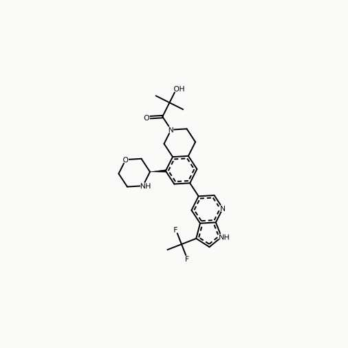 CC(C)(O)C(=O)N1CCc2cc(-c3cnc4[nH]cc(C(C)(F)F)c4c3)cc([C@@H]3COCCN3)c2C1